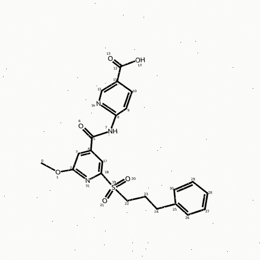 COc1cc(C(=O)Nc2ccc(C(=O)O)cn2)cc(S(=O)(=O)CCCc2ccccc2)n1